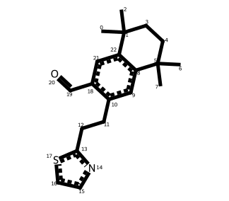 CC1(C)CCC(C)(C)c2cc(CCc3nccs3)c(C=O)cc21